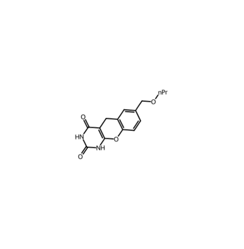 CCCOCc1ccc2c(c1)Cc1c([nH]c(=O)[nH]c1=O)O2